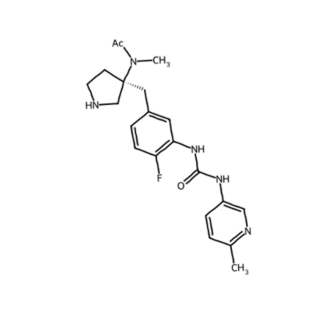 CC(=O)N(C)[C@]1(Cc2ccc(F)c(NC(=O)Nc3ccc(C)nc3)c2)CCNC1